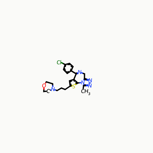 Cc1nnc2n1-c1sc(CCCN3CCOCC3)cc1C(c1ccc(Cl)cc1)=NC2